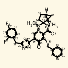 CN1C(=O)c2c(OCc3ccccc3)c(=O)c(-c3nnc(Cc4ccc(F)cc4F)s3)cn2N(C)C12CC[C@@H]1C[C@@H]12